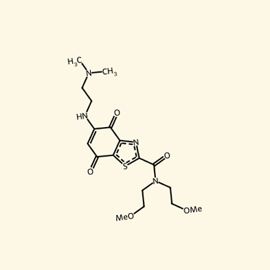 COCCN(CCOC)C(=O)c1nc2c(s1)C(=O)C=C(NCCN(C)C)C2=O